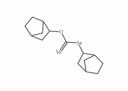 [Se]=C(OC1CC2CCC1C2)[Se]C1CC2CCC1C2